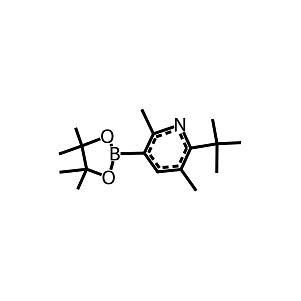 Cc1cc(B2OC(C)(C)C(C)(C)O2)c(C)nc1C(C)(C)C